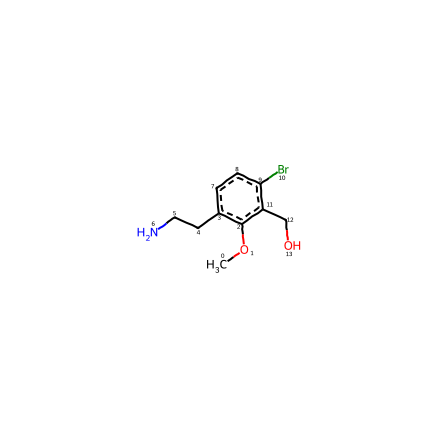 COc1c(CCN)ccc(Br)c1CO